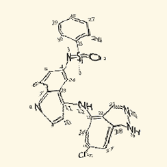 C[S@](=O)(=Nc1ccc2nccc(Nc3cc(Cl)cc4[nH]ncc34)c2c1)c1ccccc1